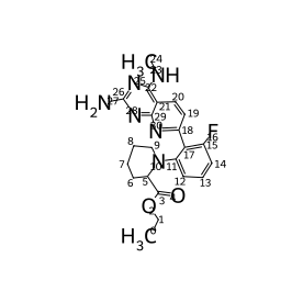 CCOC(=O)C1CCCCN1c1cccc(F)c1-c1ccc2c(NC)nc(N)nc2n1